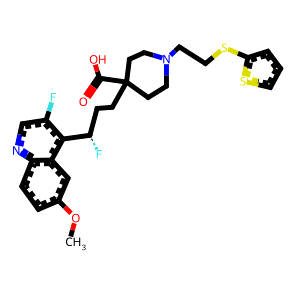 COc1ccc2ncc(F)c([C@@H](F)CCC3(C(=O)O)CCN(CCSc4cccs4)CC3)c2c1